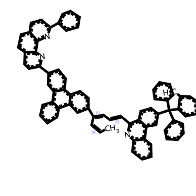 C\C=C/C(=C\C=C\c1nc2ccccc2c2cc(C(c3ccccc3)(c3ccccc3)c3ccccc3C)ccc12)c1ccc2c3ccc(-c4ccc5ccc6ccc(-c7ccccc7)nc6c5n4)cc3c3ccccc3c2c1